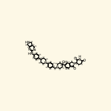 O=C1CCC(N2Cc3cc(C4(O)CCN(Cc5ccc(N6CCC(c7ccc(Nc8ncc9c(n8)CNC9)nc7)CC6)cc5)CC4)ccc3C2=O)C(=O)N1